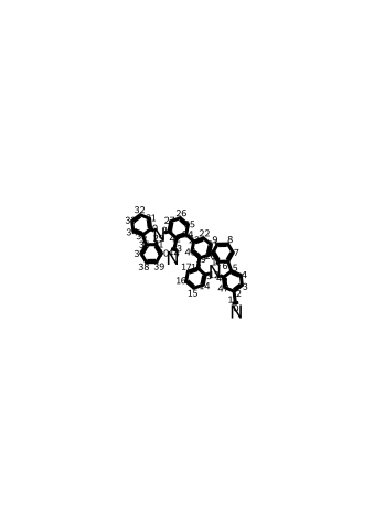 N#Cc1ccc2c3ccccc3n(-c3ccccc3-c3cccc(-c4cccc(-n5c6ccccc6c6ccccc65)c4C#N)c3)c2c1